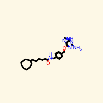 Nc1nc(OCc2ccc(CNC(=O)CCCCCC3CCCCCCCC3)cc2)c2nc[nH]c2n1